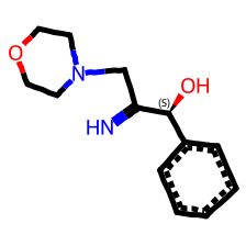 N=C(CN1CCOCC1)[C@@H](O)c1ccccc1